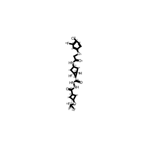 O=C(COc1ccc(Cl)c(F)c1)NC1C[C@@H]2[C@H](C1)[C@H]2C(=O)NNC(=O)C1CC(OC(F)(F)F)C1